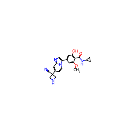 COc1cc(-c2cnc3cc(C4(C#N)CNC4)ccn23)cc(O)c1C(=O)NC1CC1